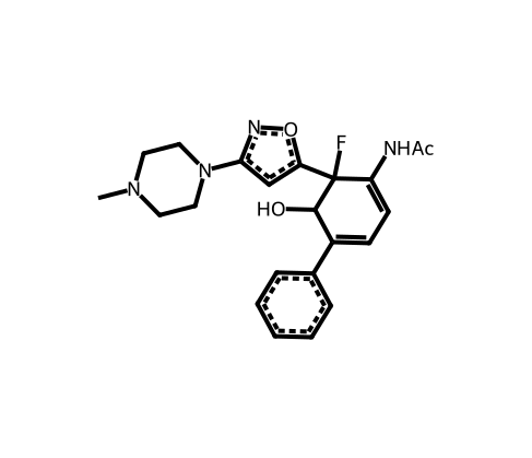 CC(=O)NC1=CC=C(c2ccccc2)C(O)C1(F)c1cc(N2CCN(C)CC2)no1